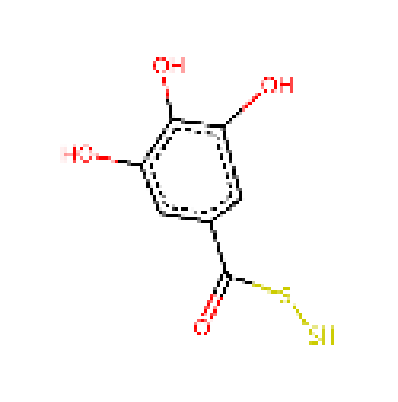 O=C(SS)c1cc(O)c(O)c(O)c1